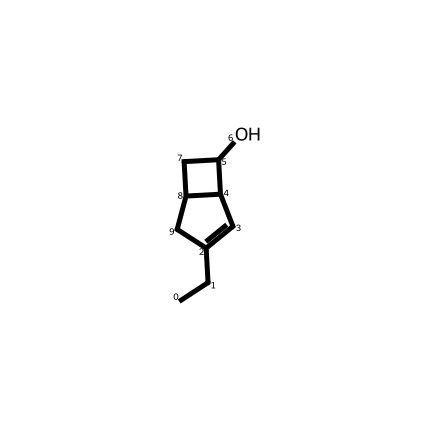 CCC1=CC2C(O)CC2C1